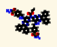 CCOC(=O)N(c1cc(NCc2ccc(S(N)(=O)=O)cc2)c2nc(-c3ccccc3)c(-c3ccccc3)nc2n1)c1cc(NCc2ccc(S(N)(=O)=O)cc2)c2nc(-c3ccccc3)c(-c3ccccc3)nc2n1